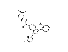 Cn1ccc(-n2nc(-c3ccccc3Cl)c3ccc(C(=O)NC4(C)CCS(=O)(=O)C4)cc32)n1